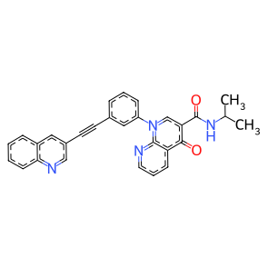 CC(C)NC(=O)c1cn(-c2cccc(C#Cc3cnc4ccccc4c3)c2)c2ncccc2c1=O